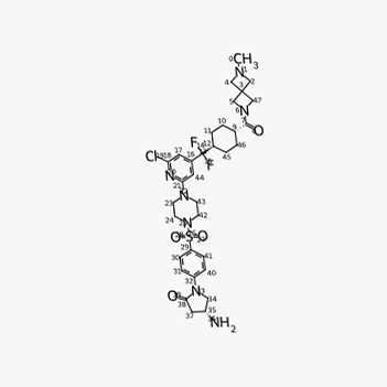 CN1CC2(C1)CN(C(=O)[C@H]1CC[C@H](C(F)(F)c3cc(Cl)nc(N4CCN(S(=O)(=O)c5ccc(N6C[C@H](N)CC6=O)cc5)CC4)c3)CC1)C2